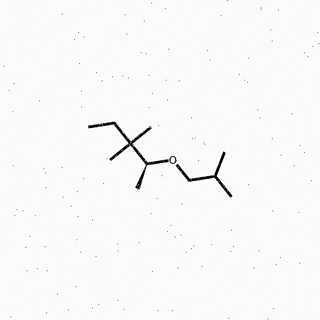 CCC(C)(C)[C@H](C)OCC(C)C